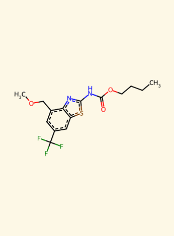 CCCCOC(=O)Nc1nc2c(COC)cc(C(F)(F)F)cc2s1